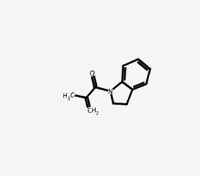 C=C(C)C(=O)N1CCc2ccccc21